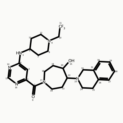 O=C(c1cc(NC2CCN(CC(F)(F)F)CC2)ncn1)N1CCC(O)C(N2CCc3ccccc3C2)CC1